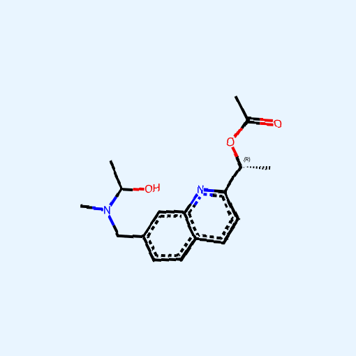 CC(=O)O[C@H](C)c1ccc2ccc(CN(C)C(C)O)cc2n1